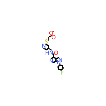 COC(=O)CCSc1cc(CNC(=O)c2cncc3c2cnn3-c2ccc(F)cc2)ccn1